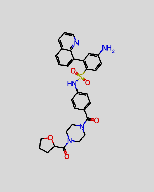 Nc1ccc(S(=O)(=O)Nc2ccc(C(=O)N3CCN(C(=O)C4CCCO4)CC3)cc2)c(-c2cccc3cccnc23)c1